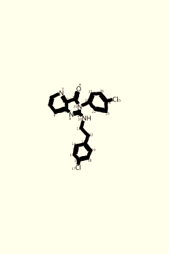 O=c1c2ncccc2nc(NCCc2ccc(Cl)cc2)n1-c1ccc(Cl)cc1